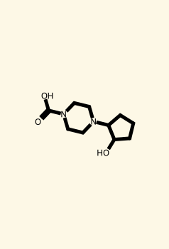 O=C(O)N1CCN(C2CCCC2O)CC1